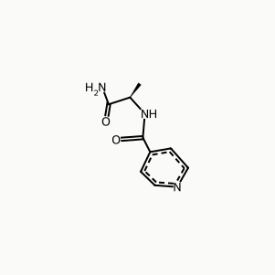 C[C@@H](NC(=O)c1ccncc1)C(N)=O